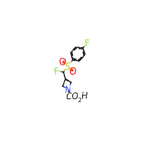 O=C(O)N1CC(C(F)S(=O)(=O)c2ccc(F)cc2)C1